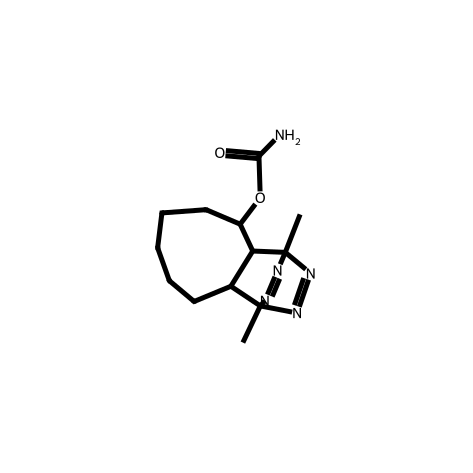 CC12N=NC(C)(N=N1)C1C(OC(N)=O)CCCCCC12